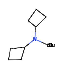 CC(C)(C)N(C1CCC1)C1CCC1